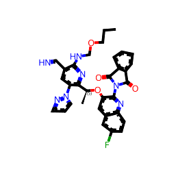 CCCOCNc1nc([C@H](C)Oc2cc3cc(F)ccc3nc2N2C(=O)c3ccccc3C2=O)c(-n2cccn2)cc1C=N